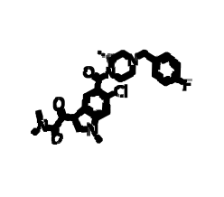 C[C@@H]1CN(Cc2ccc(F)cc2)CCN1C(=O)c1cc2c(cc1Cl)N(C)CC2C(=O)C(=O)N(C)C